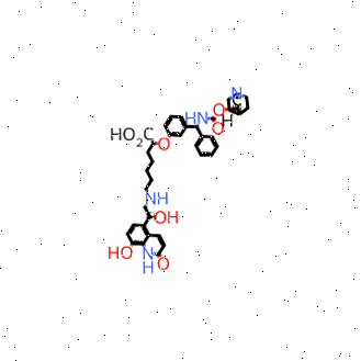 O=C(NC(c1ccccc1)c1cccc(OC(CCCCCNC[C@@H](O)c2ccc(O)c3[nH]c(=O)ccc23)C(=O)O)c1)O[C@H]1CN2CCC1CC2